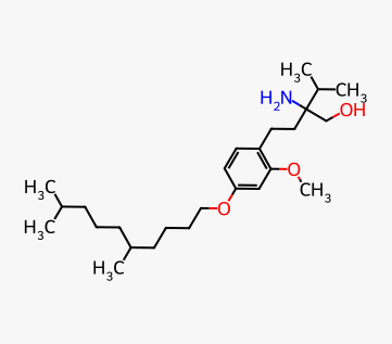 COc1cc(OCCCCC(C)CCCC(C)C)ccc1CCC(N)(CO)C(C)C